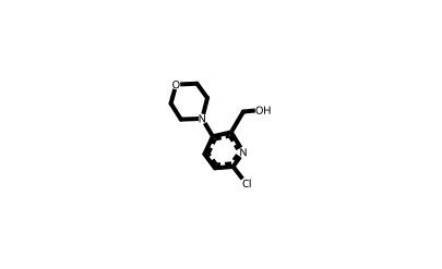 OCc1nc(Cl)ccc1N1CCOCC1